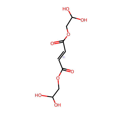 O=C(/C=C/C(=O)OCC(O)O)OCC(O)O